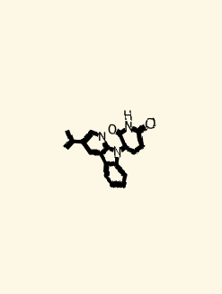 C=C(C)c1cnc2c(c1)c1ccccc1n2C1CCC(=O)NC1=O